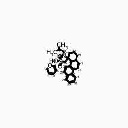 C1=CCOC=C1.CC(C)CNC1(CS(=O)(=O)O)CCCC2C=Cc3c(ccc4ccccc34)C21